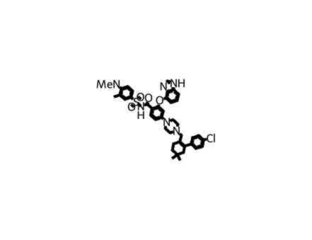 CNc1ccc(S(=O)(=O)NC(=O)c2ccc(N3CCN(CC4=C(c5ccc(Cl)cc5)CC(C)(C)CC4)CC3)cc2Oc2cccc3[nH]cnc23)cc1C